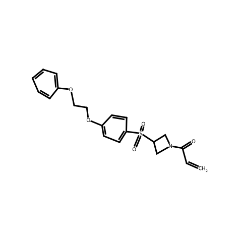 C=CC(=O)N1CC(S(=O)(=O)c2ccc(OCCOc3c[c]ccc3)cc2)C1